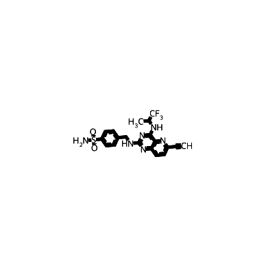 C#Cc1ccc2nc(NCc3ccc(S(N)(=O)=O)cc3)nc(NC(C)C(F)(F)F)c2n1